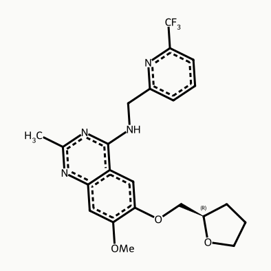 COc1cc2nc(C)nc(NCc3cccc(C(F)(F)F)n3)c2cc1OC[C@H]1CCCO1